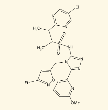 CCc1cc(Cn2c(NS(=O)(=O)C(C)C(C)c3ncc(Cl)cn3)nnc2-c2cccc(OC)n2)on1